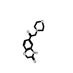 O=C1COc2ccc(C(=O)CN3CCOCC3)cc2N1